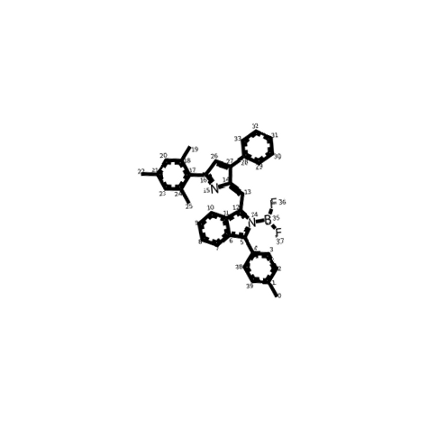 Cc1ccc(-c2c3ccccc3c(/C=C3\N=C(c4c(C)cc(C)cc4C)C=C3c3ccccc3)n2B(F)F)cc1